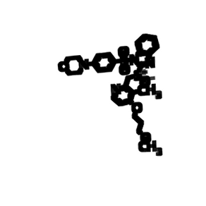 COCCCOc1ccnc(C[S+]([O-])c2nc3ccccc3n2S(=O)(=O)c2ccc(N3CCOCC3)cc2)c1C